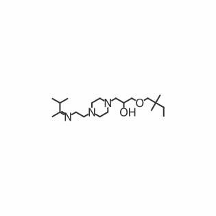 CCC(C)(C)COCC(O)CN1CCN(CCN=C(C)C(C)C)CC1